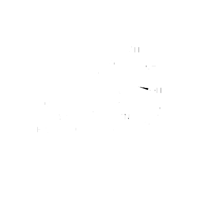 CC1(C)Oc2ccc(S(=O)(=O)C(F)(F)F)cc2[C@@H](n2ccccc2=O)[C@@H]1O